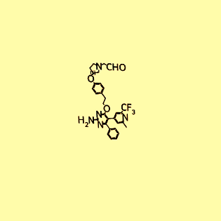 Cc1cc(-c2c(OCCc3ccc(O[C@H]4CCN(CC=O)C4)cc3)nc(N)nc2-c2ccccc2)cc(C(F)(F)F)n1